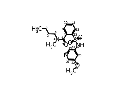 CCCCN(C)C(=O)c1ccccc1S(=O)(=O)Nc1cncc(OC)c1